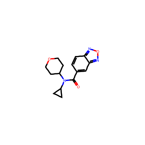 O=C(c1ccc2nonc2c1)N(C1CCOCC1)C1CC1